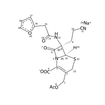 CC(=O)OCC1=C(C(=O)[O-])N2C(=O)[C@@](CCC#N)(NC(=O)Cc3ccco3)[C@H]2SC1.[Na+]